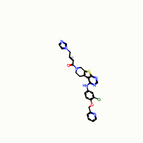 O=C(/C=C/Cn1ccnc1)N1CCc2c(sc3ncnc(Nc4ccc(OCc5ccccn5)c(Cl)c4)c23)C1